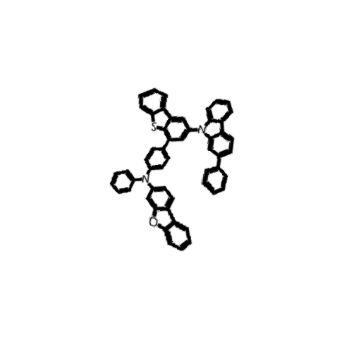 c1ccc(-c2ccc3c4ccccc4n(-c4cc(-c5ccc(N(c6ccccc6)c6ccc7c(c6)oc6ccccc67)cc5)c5sc6ccccc6c5c4)c3c2)cc1